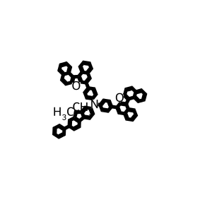 CC1(C)c2cc(-c3ccccc3)ccc2-c2ccc(N(c3ccc(-c4cc5ccccc5c5c4oc4ccc6ccccc6c45)cc3)c3ccc(-c4cc5ccccc5c5c4oc4ccc6ccccc6c45)cc3)cc21